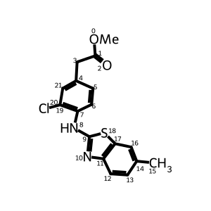 COC(=O)Cc1ccc(Nc2nc3ccc(C)cc3s2)c(Cl)c1